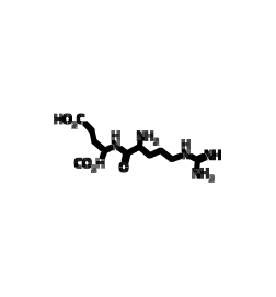 N=C(N)NCCCC(N)C(=O)NC(CCC(=O)O)C(=O)O